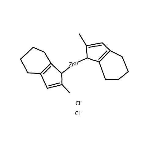 CC1=CC2=C(CCCC2)[CH]1[Zr+2][CH]1C(C)=CC2=C1CCCC2.[Cl-].[Cl-]